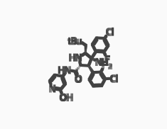 CC(C)(C)C[C@@H]1N[C@@H](C(=O)Nc2ccnc(O)c2)[C@H](c2cccc(Cl)c2F)[C@@]1(N)c1ccc(Cl)cc1F